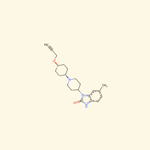 C#CCO[C@H]1CC[C@@H](N2CCC(n3c(=O)[nH]c4ccc(C)cc43)CC2)CC1